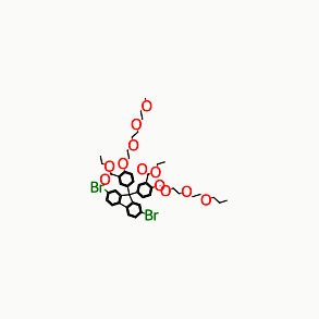 CCCOCCOCCOOc1ccc(C2(c3ccc(OCCOCCOCCOC)c(C(=O)OCC)c3)c3cc(Br)ccc3-c3ccc(Br)cc32)cc1C(=O)OCC